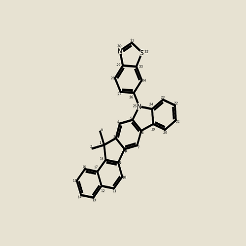 CC1(C)c2cc3c(cc2-c2ccc4ccccc4c21)c1ccccc1n3-c1ccc2ncsc2c1